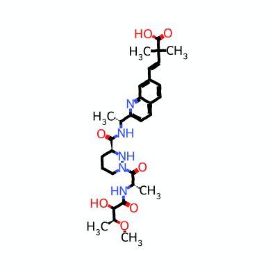 CO[C@@H](C)C(O)C(=O)N[C@@H](C)C(=O)N1CCC[C@@H](C(=O)N[C@H](C)c2ccc3ccc(/C=C/C(C)(C)C(=O)O)cc3n2)N1